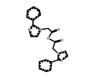 O=C(Cn1ccnc1-c1ccccc1)OC(=O)Cn1ccnc1-c1ccccc1